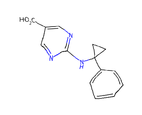 O=C(O)c1cnc(NC2(c3ccccc3)CC2)nc1